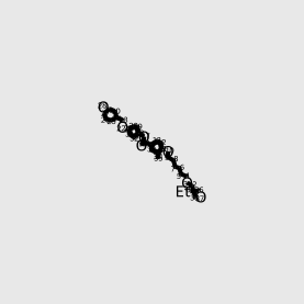 CCC1(COCCCCCCOc2ccc(C(=O)Oc3ccc(OCC4CCC5OC5C4)cc3)cc2C)COC1